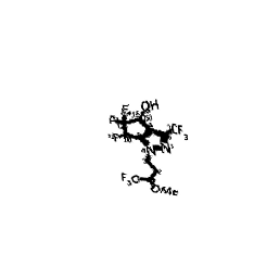 CO[C@H](CCn1nc(C(F)(F)F)c2c1[C@@H](F)C(F)(F)[C@H]2O)C(F)(F)F